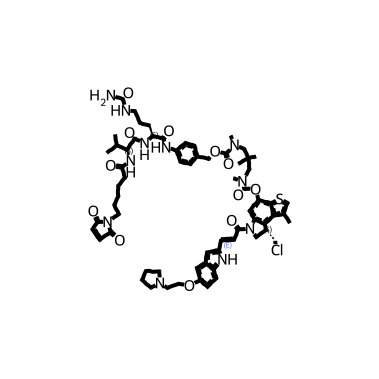 Cc1csc2c(OC(=O)N(C)CC(C)(C)CN(C)C(=O)OCc3ccc(NC(=O)[C@H](CCCNC(N)=O)NC(=O)[C@@H](NC(=O)CCCCCN4C(=O)C=CC4=O)C(C)C)cc3)cc3c(c12)[C@H](CCl)CN3C(=O)/C=C/c1cc2cc(OCCN3CCCC3)ccc2[nH]1